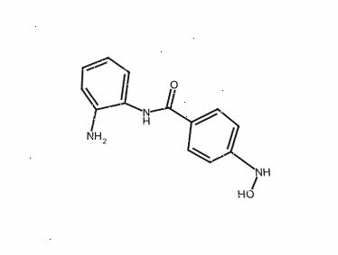 Nc1ccccc1NC(=O)c1ccc(NO)cc1